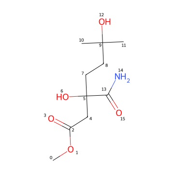 COC(=O)CC(O)(CCC(C)(C)O)C(N)=O